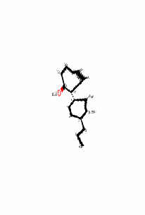 CCC[C@H]1CC[C@H](C2CCCCC2=O)CC1